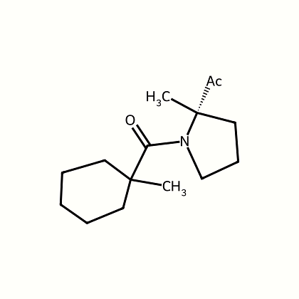 CC(=O)[C@]1(C)CCCN1C(=O)C1(C)CCCCC1